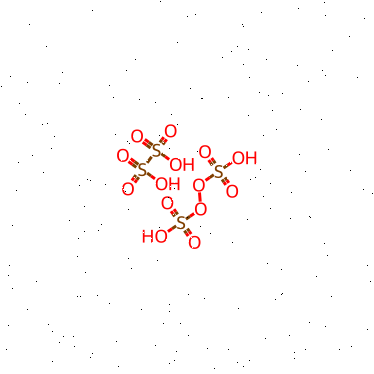 O=S(=O)(O)OOS(=O)(=O)O.O=S(=O)(O)S(=O)(=O)O